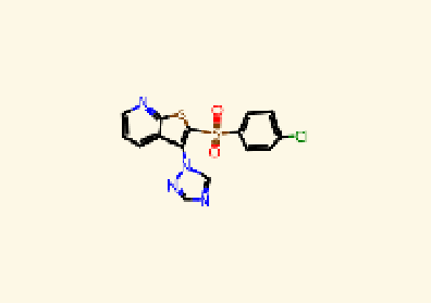 O=S(=O)(c1ccc(Cl)cc1)c1sc2ncccc2c1-n1cncn1